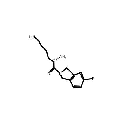 NCCCC[C@H](N)C(=O)N1Cc2ccc(F)cc2C1